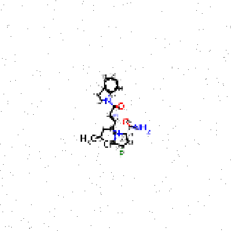 CC(C)C[C@@H](/C=C/C(=O)N1CCc2ccccc21)N1C[C@@H](F)C[C@H]1C(N)=O